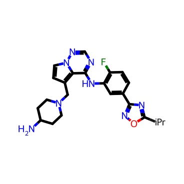 CC(C)c1nc(-c2ccc(F)c(Nc3ncnn4ccc(CN5CCC(N)CC5)c34)c2)no1